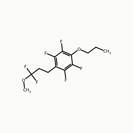 CCCOc1c(F)c(F)c(CCC(F)(F)OC)c(F)c1F